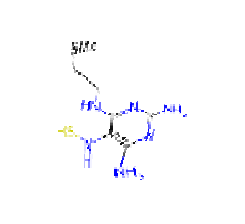 CSCCNc1nc(N)nc(N)c1NS